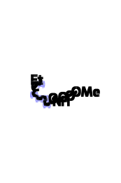 CC/C=C\C=C=CC/C=C\C/C=C\C/C=C\C/C=C\CCC(=O)NCCOCCOCCOC